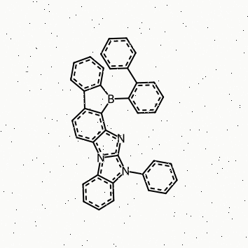 c1ccc(-c2ccccc2B2c3ccccc3-c3ccc4c(nc5n(-c6ccccc6)c6ccccc6n45)c32)cc1